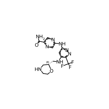 NC(=O)c1cnc(Nc2cc(NC[C@H]3CNCCO3)c(C(F)(F)F)nn2)cn1